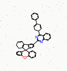 C1=CC2=C(CC1)C1(c3ccccc3Oc3ccccc31)c1ccc(-c3nc(C4C=CC(c5ccccc5)=CC4)c4ccccc4n3)cc12